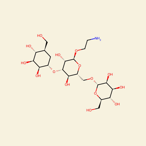 NCCO[C@H]1O[C@H](CO[C@H]2O[C@H](CO)[C@@H](O)[C@H](O)[C@@H]2O)[C@@H](O)[C@H](O[C@H]2C[C@H](CO)[C@@H](O)[C@H](O)[C@@H]2O)[C@@H]1O